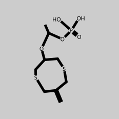 C=C1CSCC(OC(C)OP(=O)(O)O)CSC1